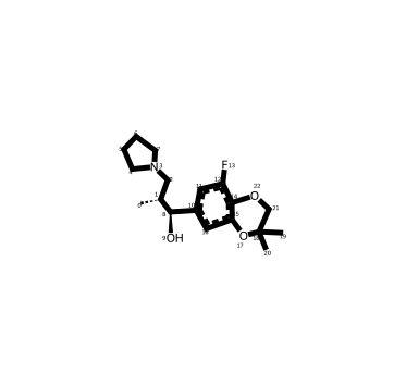 C[C@H](CN1CCCC1)[C@H](O)c1cc(F)c2c(c1)OC(C)(C)CO2